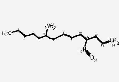 CCCCCC(N)CCCCC(CCC)N=O